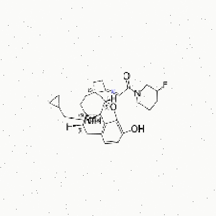 O=C(/C=C1\CC[C@]12CC[C@@]1(O)[C@H]3Cc4ccc(O)c5c4[C@@]1(CCN3CC1CC1)[C@H]2O5)N1CCCC(F)C1